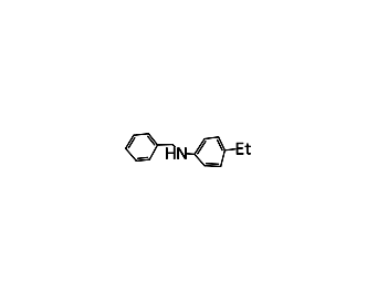 CCc1ccc(NCc2ccccc2)cc1